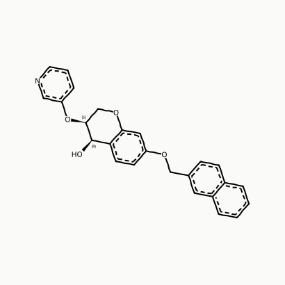 O[C@@H]1c2ccc(OCc3ccc4ccccc4c3)cc2OC[C@@H]1Oc1cccnc1